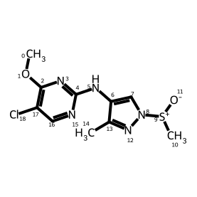 COc1nc(Nc2cn([S+](C)[O-])nc2C)ncc1Cl